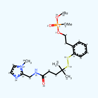 COP(=O)(OCCc1ccccc1SSC(C)(C)CCC(=O)NCc1nccn1C)OC(C)(C)C